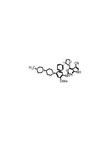 COc1cc(N2CCC(N3CCN(C)CC3)CC2)ccc1Nc1nc(N2OCC[C@H]2c2ccccc2)c2c(C#N)c[nH]c2n1